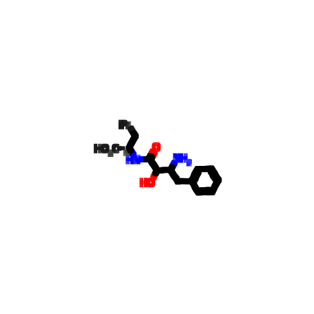 CC(C)C[C@H](NC(=O)C(O)C(N)Cc1ccccc1)C(=O)O